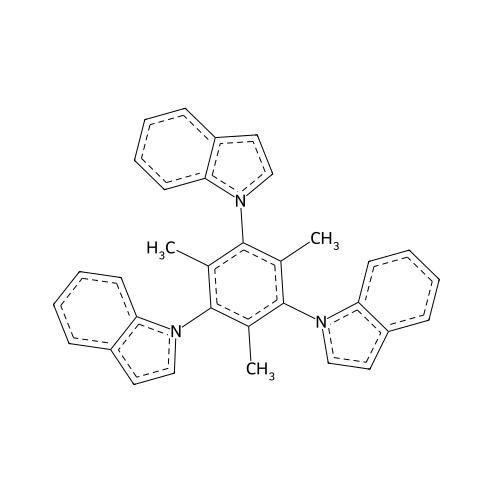 Cc1c(-n2ccc3ccccc32)c(C)c(-n2ccc3ccccc32)c(C)c1-n1ccc2ccccc21